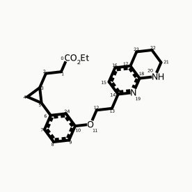 CCOC(=O)CCC1CC1c1cccc(OCCc2ccc3c(n2)NCCC3)c1